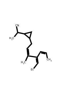 C\C=C/C(=C/CC)C(/C)=C\CC1CC1C(C)C#N